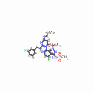 CSc1nc2nc([C@@H](N)Cc3cc(F)cc(F)c3)n(-c3ccc(Cl)c4c(NS(C)(=O)=O)nn(CC(F)(F)F)c34)c(=O)c2s1